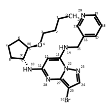 CCCCO[C@@H]1CCC[C@H]1Nc1cc(NCc2cccnc2)n2ncc(Br)c2n1